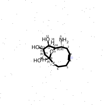 N[C@@H]1C/C=C\CCS[C@H]2O[C@H]1[C@H](O)[C@H](O)[C@H]2O